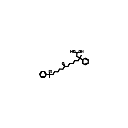 CCC(C)(CCCCCC(=O)CCCCCC(C)(CC(O)O)c1ccccc1)c1ccccc1